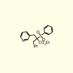 CCOC(=O)C(Cc1cccnc1)(CC(C)C)S(=O)(=O)c1ccccc1